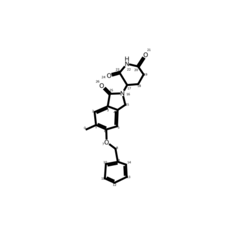 Cc1cc2c(cc1OCc1ccccc1)CN(C1CCC(=O)NC1=O)C2=O